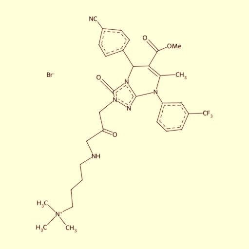 COC(=O)C1=C(C)N(c2cccc(C(F)(F)F)c2)c2nn(CC(=O)CNCCCC[N+](C)(C)C)c(=O)n2C1c1ccc(C#N)cc1.[Br-]